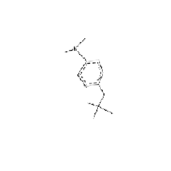 CN(C)c1ccc(CC(C)(C)C)nc1